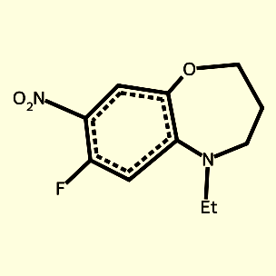 CCN1CCCOc2cc([N+](=O)[O-])c(F)cc21